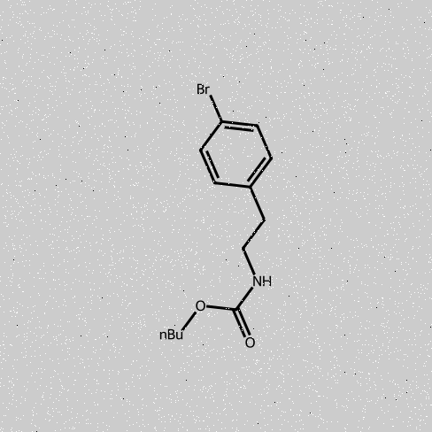 CCCCOC(=O)NCCc1ccc(Br)cc1